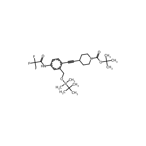 CC(C)(C)OC(=O)N1CCC(C#Cc2ccc(NC(=O)C(F)(F)F)cc2CO[Si](C)(C)C(C)(C)C)CC1